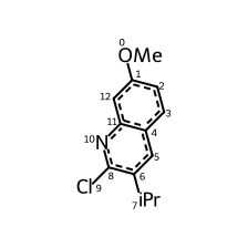 COc1ccc2cc(C(C)C)c(Cl)nc2c1